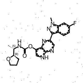 C[C@H](NC(=O)Oc1c[nH]c2ncc(-c3nn(C)c4cc(F)ccc34)nc12)[C@H]1CCCO1